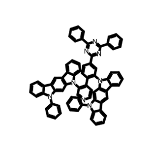 c1ccc(-c2nc(-c3ccccc3)nc(-c3ccc(-c4ccncc4-n4c5ccccc5c5cc6c7ccccc7n(-c7ccccc7)c6cc54)c(-n4c5ccccc5c5cc6c7ccccc7n(-c7ccccc7)c6cc54)c3)n2)cc1